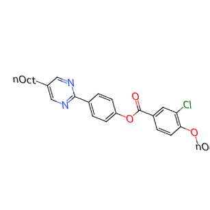 CCCCCCCCOc1ccc(C(=O)Oc2ccc(-c3ncc(CCCCCCCC)cn3)cc2)cc1Cl